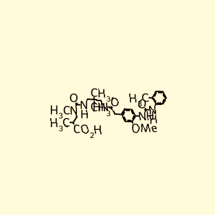 COc1cc(CC(=O)NCC(C)(C)CNC(=O)N(C)CC(C)C(=O)O)ccc1NC(=O)Nc1ccccc1C